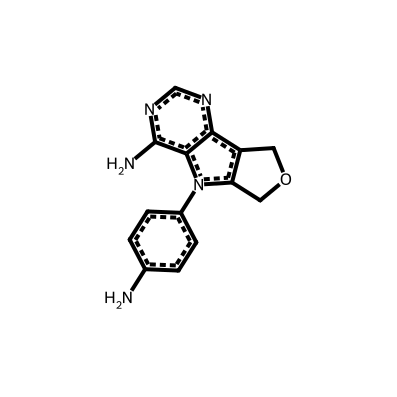 Nc1ccc(-n2c3c(c4ncnc(N)c42)COC3)cc1